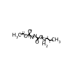 CCC[SiH2]OC(=O)N=NC(=O)OCC